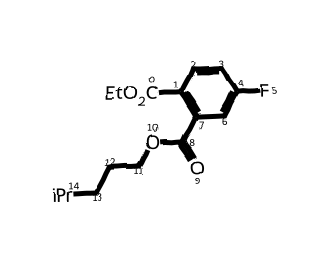 CCOC(=O)c1ccc(F)cc1C(=O)OCCCC(C)C